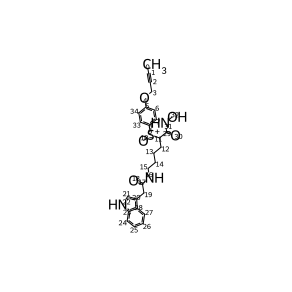 CC#CCOc1ccc([S+]([O-])C(CCCCNC(=O)Cc2c[nH]c3ccccc23)C(=O)NO)cc1